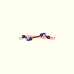 C[C@H](Cc1ccc(OCCCCCCOc2ccc(C[C@@H](C)NC[C@H](O)c3cccc(Cl)c3)cc2)cc1)NC[C@H](O)c1ccc(O)cc1